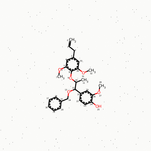 C=CCc1cc(OC)c(OC(C)C(OCc2ccccc2)c2ccc(O)c(OC)c2)c(OC)c1